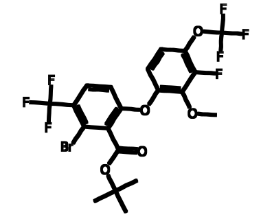 COc1c(Oc2ccc(C(F)(F)F)c(Br)c2C(=O)OC(C)(C)C)ccc(OC(F)(F)F)c1F